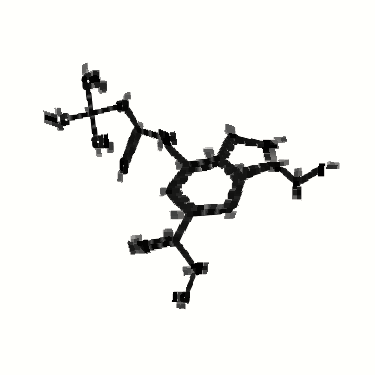 CC(C)(C)OC(=O)Nc1cc(C(=N)NO)cc2c1cnn2PI